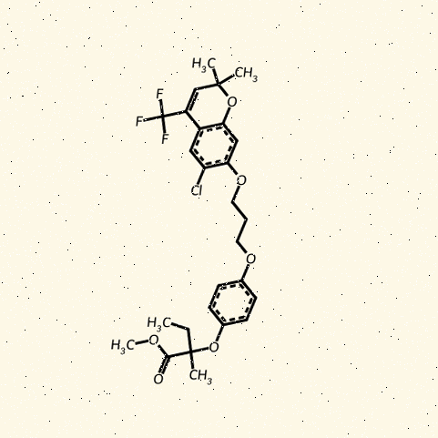 CCC(C)(Oc1ccc(OCCCOc2cc3c(cc2Cl)C(C(F)(F)F)=CC(C)(C)O3)cc1)C(=O)OC